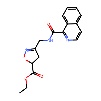 CCOC(=O)C1CC(CNC(=O)c2nccc3ccccc23)=NO1